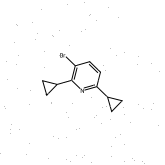 Brc1ccc(C2CC2)nc1C1CC1